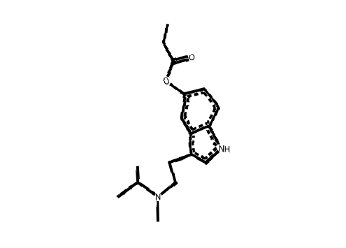 CCC(=O)Oc1ccc2[nH]cc(CCN(C)C(C)C)c2c1